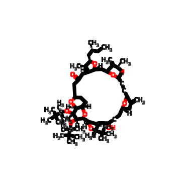 C=C1C[C@@H]2CCC(O)/C=C/[C@H](O[Si](C)(C)C(C)(C)C)[C@@H]3O[C@H]4CCC(CC(=O)C[C@@H]5[C@@H](C)[C@@H](C[C@H](C)CC)O[C@H]5CC5O[C@@H](CCC1O2)C[C@@H](C)C5=C)O[C@@H]4[C@H](O[Si](C)(C)C(C)(C)C)[C@@H]3O[Si](C)(C)C(C)(C)C